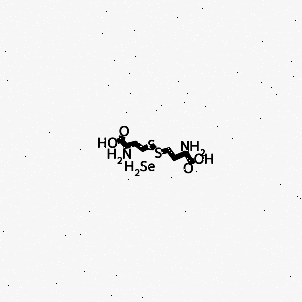 NC(CCSSCCC(N)C(=O)O)C(=O)O.[SeH2]